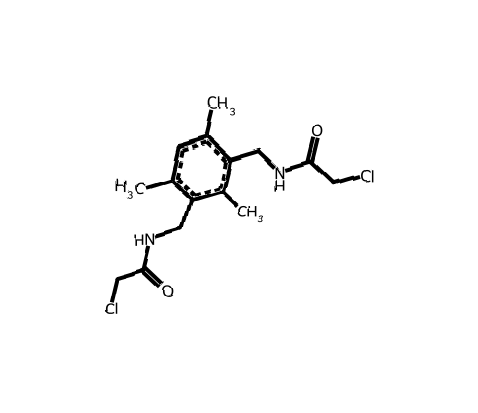 Cc1cc(C)c(CNC(=O)CCl)c(C)c1CNC(=O)CCl